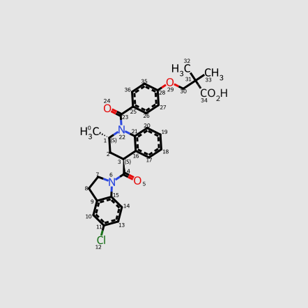 C[C@H]1C[C@H](C(=O)N2CCc3cc(Cl)ccc32)c2ccccc2N1C(=O)c1ccc(OCC(C)(C)C(=O)O)cc1